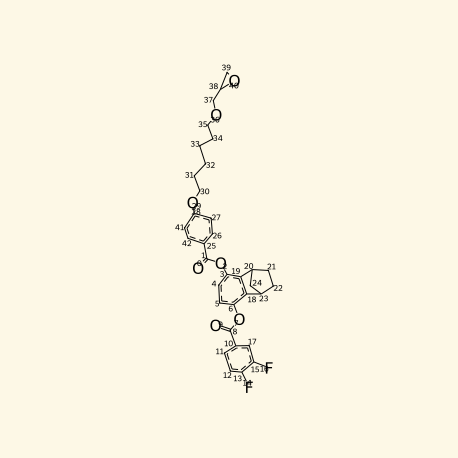 O=C(Oc1ccc(OC(=O)c2ccc(F)c(F)c2)c2c1C1CCC2C1)c1ccc(OCCCCCCOCC2CO2)cc1